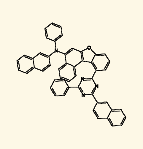 c1ccc(-c2nc(-c3ccc4ccccc4c3)nc(-c3cccc4oc5cc(N(c6ccccc6)c6ccc7ccccc7c6)c6ccccc6c5c34)n2)cc1